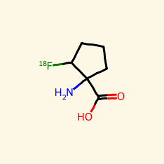 NC1(C(=O)O)CCCC1[18F]